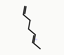 C=C[CH]C/C=C/C